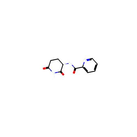 O=C1CC[C@@H](NC(=O)c2ccccn2)C(=O)N1